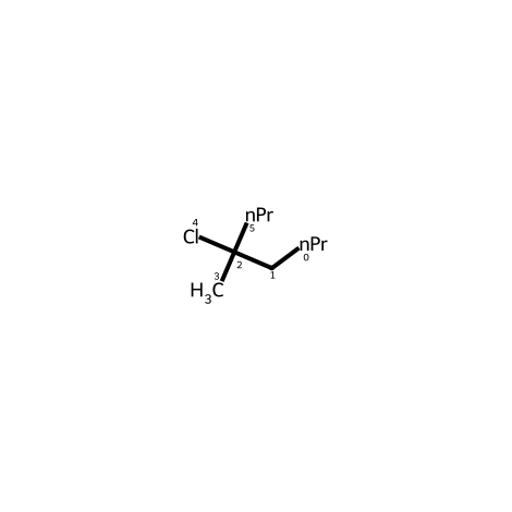 CCCCC(C)(Cl)CCC